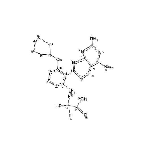 CNc1nc(N)nc2nc(-c3c(OC4CCCCC4)cccc3C(F)(F)F)ccc12.O=C(O)C(F)(F)F